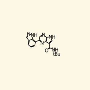 CC(C)(C)NC(=O)c1c[nH]c2ncc(-c3cccc4cn[nH]c34)nc12